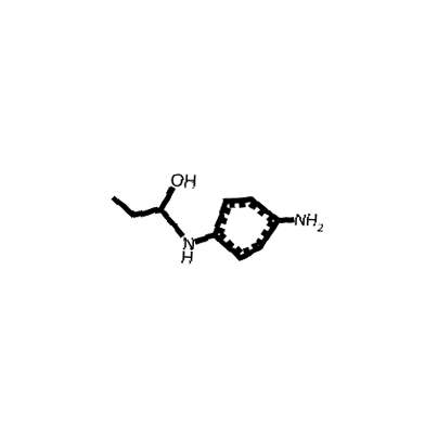 CCC(O)Nc1ccc(N)cc1